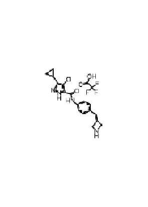 O=C(Nc1ccc(C=C2CNC2)cc1)c1[nH]nc(C2CC2)c1Cl.O=C(O)C(F)(F)F